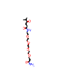 CC(C)C(=O)CCC(=O)NCCOCCOCCOCCOCCC(N)=O